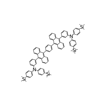 C[Si](C)(C)c1ccc(N(c2ccc([Si](C)(C)C)cc2)c2cccc(-c3c4ccccc4c(-c4ccc(-c5c6ccccc6c(-c6cccc(N(c7ccc([Si](C)(C)C)cc7)c7ccc([Si](C)(C)C)cc7)c6)c6ccccc56)cc4)c4ccccc34)c2)cc1